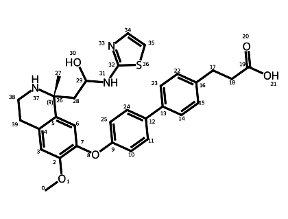 COc1cc2c(cc1Oc1ccc(-c3ccc(CCC(=O)O)cc3)cc1)[C@@](C)(CC(O)Nc1nccs1)NCC2